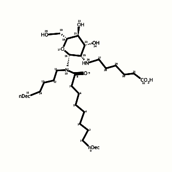 CCCCCCCCCCCCCCCCCC(=O)N(CCCCCCCCCCCCCC)[C@@H]1O[C@H](CO)[C@@H](O)[C@H](O)[C@@H]1NCCCCCC(=O)O